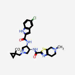 CN1CCc2nc(C(=O)N[C@@H]3CN(CC4(C(=O)O)CC4)C[C@H]3NC(=O)c3cc4cc(Cl)ccc4[nH]3)sc2C1